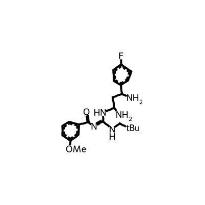 COc1cccc(C(=O)/N=C(/NCC(C)(C)C)NC(N)CC(N)c2ccc(F)cc2)c1